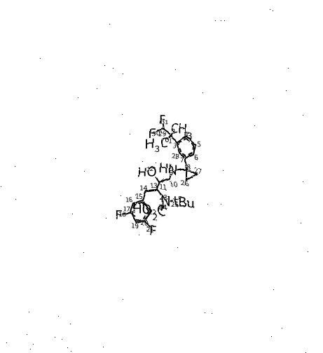 CC(C)(c1cccc(C2(NCC(O)C(Cc3cc(F)cc(F)c3)N(C(=O)O)C(C)(C)C)CC2)c1)C(F)F